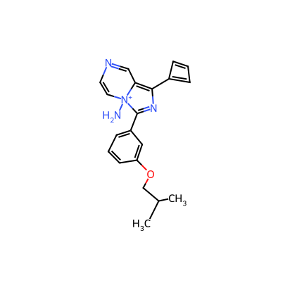 CC(C)COc1cccc(C2=NC(C3=CC=C3)=C3C=NC=C[N+]23N)c1